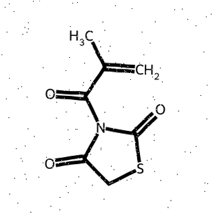 C=C(C)C(=O)N1C(=O)CSC1=O